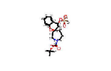 CC(C)(C)OC(=O)N1CCCC2(C=C(OS(C)(=O)=O)c3ccccc3O2)CC1